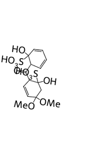 COC1(OC)C=CC(C(=O)C2C=CC=CC2(O)S(=O)(=O)O)C(O)(S(=O)(=O)O)C1